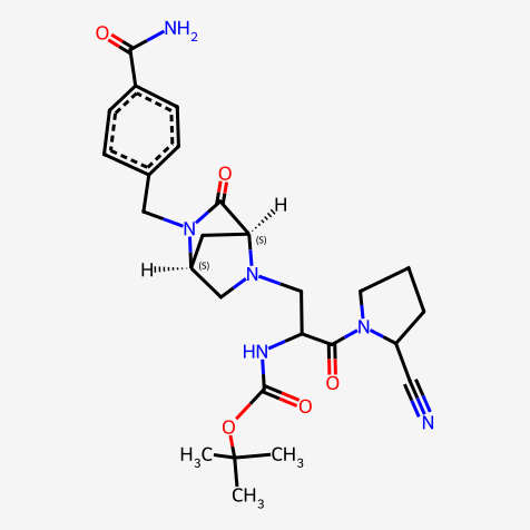 CC(C)(C)OC(=O)NC(CN1C[C@@H]2C[C@H]1C(=O)N2Cc1ccc(C(N)=O)cc1)C(=O)N1CCCC1C#N